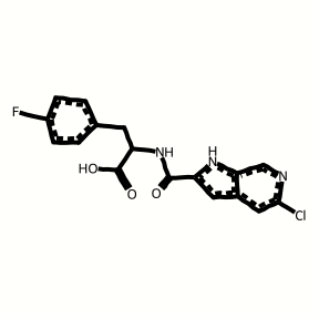 O=C(NC(Cc1ccc(F)cc1)C(=O)O)c1cc2cc(Cl)ncc2[nH]1